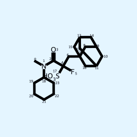 CN(C(=O)C(F)(CC12CC3CC(CC(C3)C1)C2)S(=O)(=O)O)C1CCCCC1